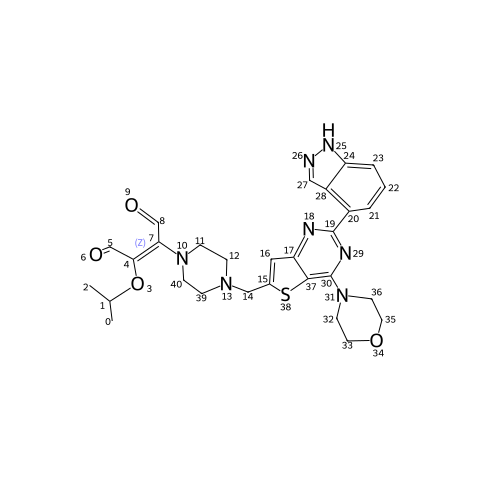 CC(C)O/C(C=O)=C(/C=O)N1CCN(Cc2cc3nc(-c4cccc5[nH]ncc45)nc(N4CCOCC4)c3s2)CC1